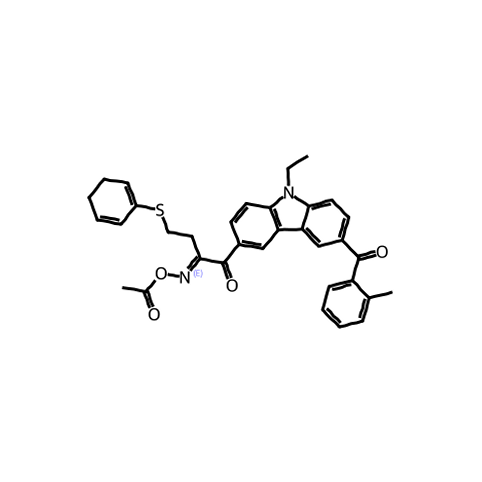 CCn1c2ccc(C(=O)/C(CCSC3=CCCC=C3)=N/OC(C)=O)cc2c2cc(C(=O)c3ccccc3C)ccc21